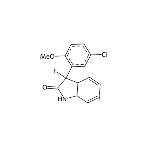 COc1ccc(Cl)cc1C1(F)C(=O)NC2C=IC=CC21